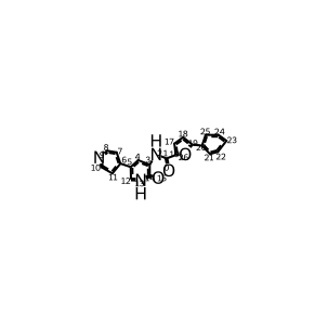 O=C(Nc1cc(-c2ccncc2)c[nH]c1=O)c1ccc(-c2ccccc2)o1